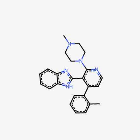 Cc1ccccc1-c1ccnc(N2CCN(C)CC2)c1-c1nc2ccccc2[nH]1